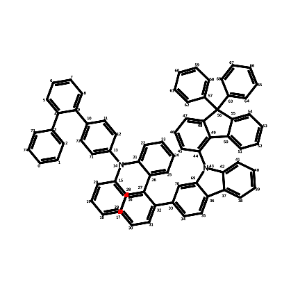 c1ccc(-c2ccccc2-c2ccc(N(c3ccccc3)c3ccccc3-c3ccccc3-c3ccc4c5ccccc5n(-c5cccc6c5-c5ccccc5C6(c5ccccc5)c5ccccc5)c4c3)cc2)cc1